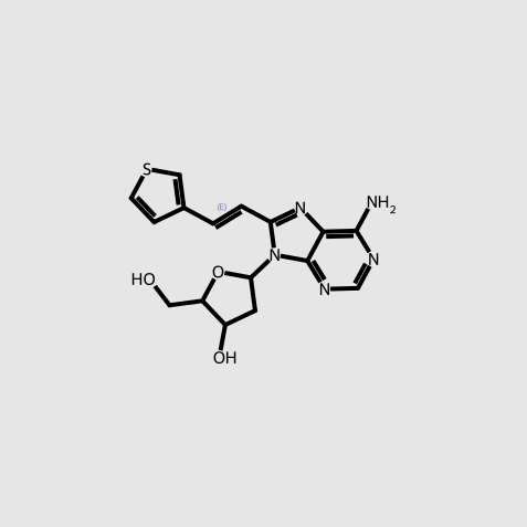 Nc1ncnc2c1nc(/C=C/c1ccsc1)n2C1CC(O)C(CO)O1